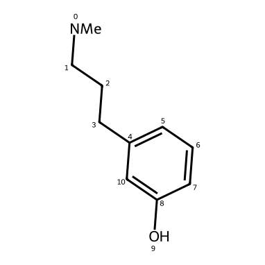 CNCCCc1cccc(O)c1